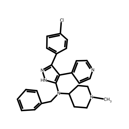 CN1CCC(N(Cc2ccccc2)c2[nH]nc(-c3ccc(Cl)cc3)c2-c2ccncc2)CC1